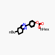 CCCCCCOC(=O)Oc1ccc(-c2ncc3c(n2)CCC(CCCC)C3)cc1